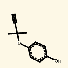 C#CC(C)(C)Oc1ccc(O)cc1